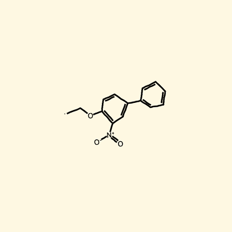 [CH2]COc1ccc(-c2ccccc2)cc1[N+](=O)[O-]